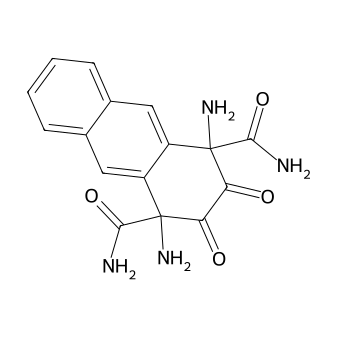 NC(=O)C1(N)C(=O)C(=O)C(N)(C(N)=O)c2cc3ccccc3cc21